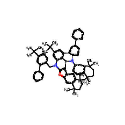 CC(C)(C)c1ccc(CN2c3cc(C(C)(C)C)cc4c3B(c3c2oc2cc5c(cc32)C(C)(C)CCC5(C)C)N(c2ccc3c(c2)C(C)(C)CCC3(C)C)c2ccc(-c3ccccc3)cc2-4)c(-c2ccccc2)c1